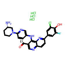 CCC(=O)c1cnc2ccc(-c3cc(F)c(O)c(Cl)c3)nc2c1Nc1ccc(N2CCC[C@H](N)C2)nc1.Cl.Cl.Cl